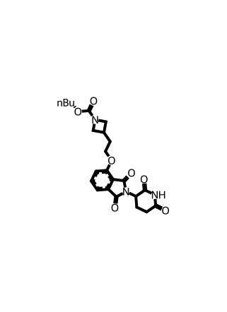 CCCCOC(=O)N1CC(CCOc2cccc3c2C(=O)N(C2CCC(=O)NC2=O)C3=O)C1